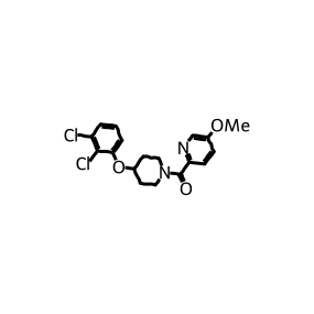 COc1ccc(C(=O)N2CCC(Oc3cccc(Cl)c3Cl)CC2)nc1